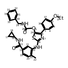 CCOc1ccc(-c2nc(Nc3cc(C(=O)NC4CC4)ccc3C)sc2OC(=O)NCc2ccccc2)cc1